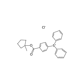 CC1(OC(=O)c2ccc([S+](c3ccccc3)c3ccccc3)cc2)CCCC1.[Cl-]